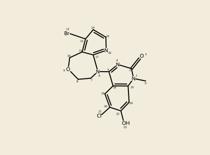 Cn1c(=O)nc(N2CCOCc3c(Br)ccnc32)c2cc(Cl)c(O)cc21